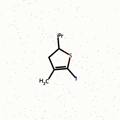 CC1=C(I)SC(C(C)C)C1